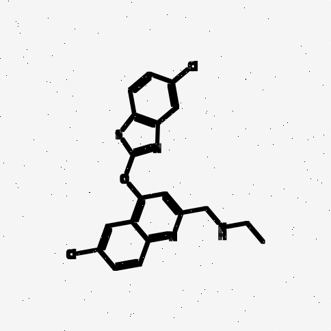 CCNCc1cc(Oc2nc3cc(Cl)ccc3s2)c2cc(Cl)ccc2n1